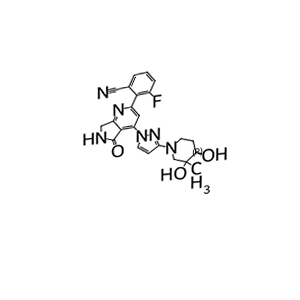 CC1(O)CN(c2ccn(-c3cc(-c4c(F)cccc4C#N)nc4c3C(=O)NC4)n2)CC[C@H]1O